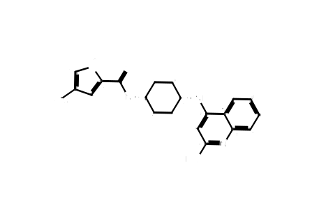 O=C(N[C@H]1CC[C@@H](Nc2cc(C(F)(F)F)nc3ccccc23)CC1)c1cc(Cl)cs1